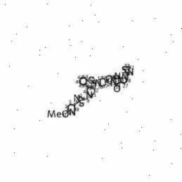 COc1ccc(-c2ncc(CN3CC[C@@H](C(=O)N4CCC(O)(Cn5cnc6c(ccn6-c6nccs6)c5=O)CC4)[C@H](c4ccccc4)C3)s2)cn1